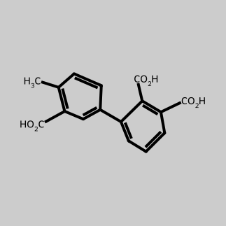 Cc1ccc(-c2cccc(C(=O)O)c2C(=O)O)cc1C(=O)O